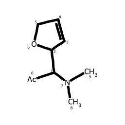 CC(=O)C(C1C=CCO1)N(C)C